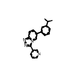 CC(C)c1cccc(-c2ccc3nnc(-c4cccnc4)n3c2)c1